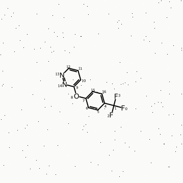 FC(F)(F)c1ccc(Oc2cccnn2)cc1